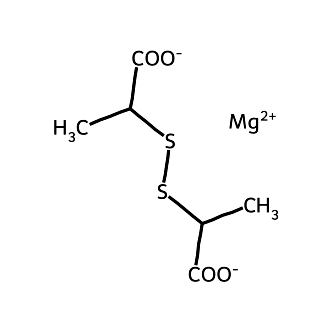 CC(SSC(C)C(=O)[O-])C(=O)[O-].[Mg+2]